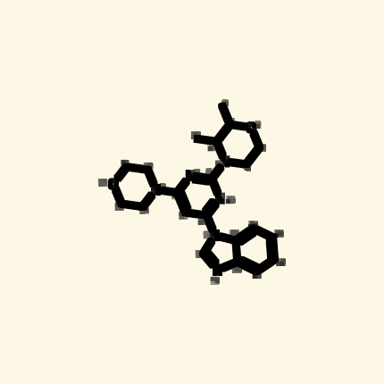 CC1OCCN(c2nc(N3CCOCC3)cc(-n3cnc4ccccc43)n2)C1C